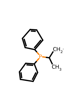 [CH2]C(C)P(c1ccccc1)c1ccccc1